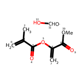 C=C(C)C(=O)OC(=C)C(=O)OC.O=[C]O